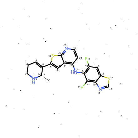 C[C@@H]1NCCC=C1c1cc2c(Nc3c(F)cc4scnc4c3F)ccnc2s1